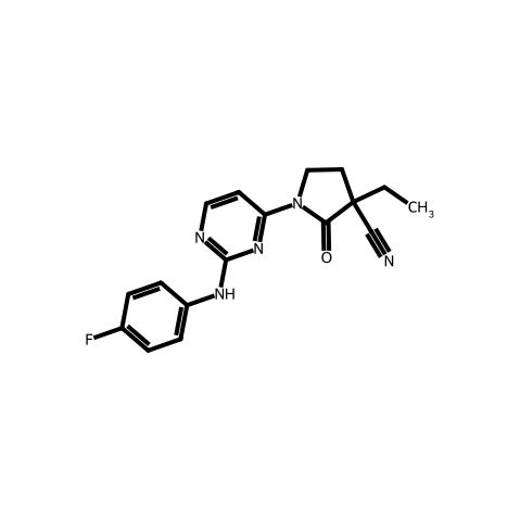 CCC1(C#N)CCN(c2ccnc(Nc3ccc(F)cc3)n2)C1=O